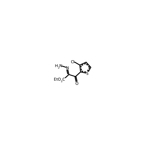 CCOC(=O)C(=NN)C(=O)c1sccc1Cl